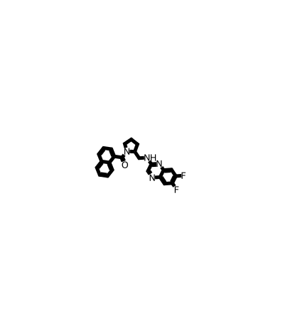 O=C(c1cccc2ccccc12)N1CCCC1CNc1cnc2cc(F)c(F)cc2n1